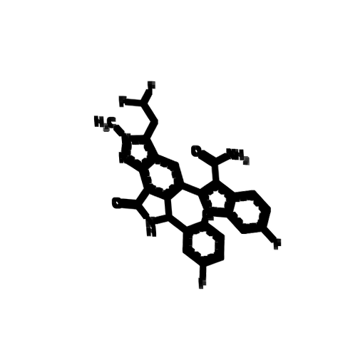 Cn1nc2c3c(c(-c4sc5cc(F)ccc5c4C(N)=O)cc2c1CC(F)F)C(c1cc(F)ccc1Cl)NC3=O